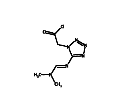 CN(C)C=Nc1nnnn1CC(=O)Cl